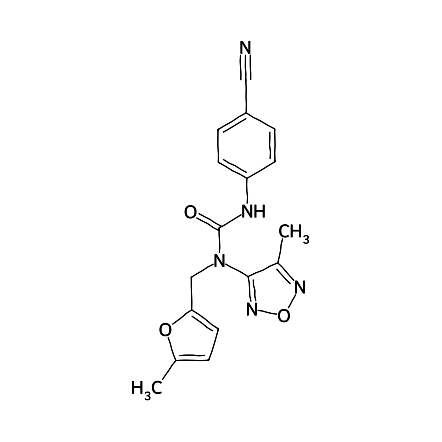 Cc1ccc(CN(C(=O)Nc2ccc(C#N)cc2)c2nonc2C)o1